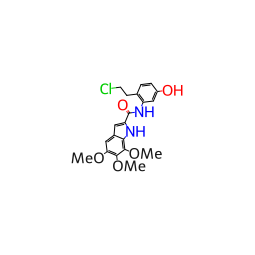 COc1cc2cc(C(=O)Nc3cc(O)ccc3CCCl)[nH]c2c(OC)c1OC